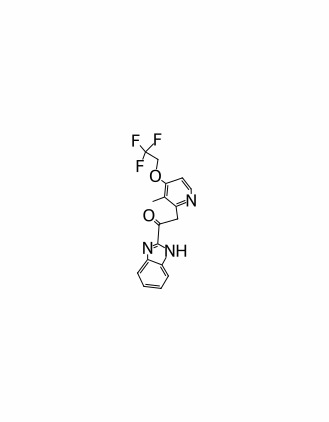 Cc1c(OCC(F)(F)F)ccnc1CC(=O)c1nc2ccccc2[nH]1